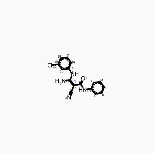 N#C/C(C(=O)Nc1ccccc1)=C(\N)Nc1cccc(Cl)c1